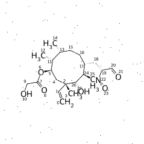 C=C[C@]1(C)C[C@@H](OC(=O)CO)[C@H](C)[C@H](C)CC[C@H](C[C@H](C=O)N=O)[C@@H](C)[C@@H]1O